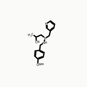 COc1ccc(CNN(Cc2cccnc2)CC(C)C#N)cc1